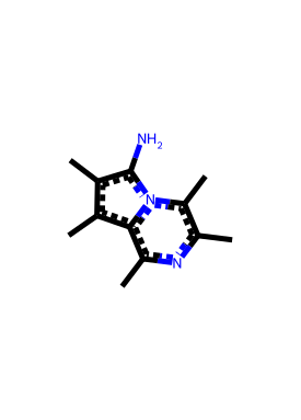 Cc1nc(C)c2c(C)c(C)c(N)n2c1C